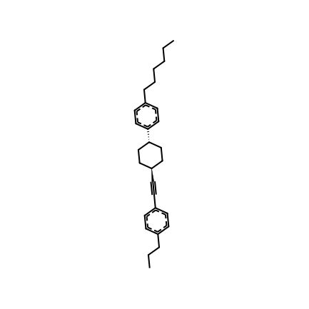 CCCCCCc1ccc([C@H]2CC[C@H](C#Cc3ccc(CCC)cc3)CC2)cc1